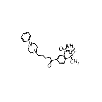 C[S+]([O-])c1ccc(C(=O)CCCCN2CCN(c3ccccc3)CC2)cc1S(N)(=O)=O